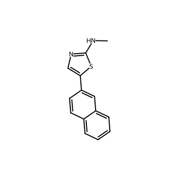 CNc1ncc(-c2ccc3ccccc3c2)s1